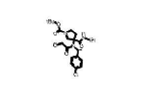 CC(C)NC(=O)C1(N(C(=O)CCl)[C@@H](C)c2ccc(Cl)cc2)CCN(C(=O)OC(C)(C)C)C1